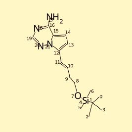 CC(C)(C)[Si](C)(C)OCCC=Cc1ccc2c(N)ncnn12